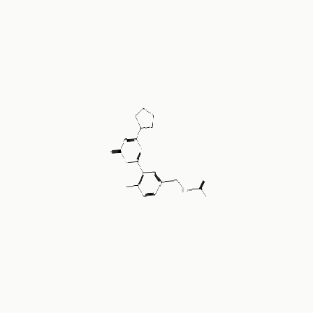 CCC(=O)NCc1ccc(Cl)c(-c2nc(C3CCCC3)cc(=O)[nH]2)c1